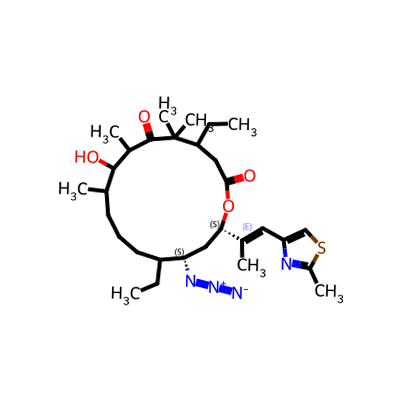 CCC1CCCC(C)C(O)C(C)C(=O)C(C)(C)C(CC)CC(=O)O[C@H](/C(C)=C/c2csc(C)n2)C[C@@H]1N=[N+]=[N-]